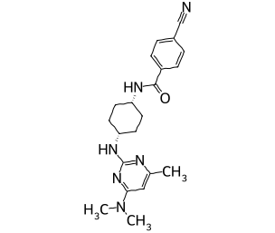 Cc1cc(N(C)C)nc(N[C@H]2CC[C@@H](NC(=O)c3ccc(C#N)cc3)CC2)n1